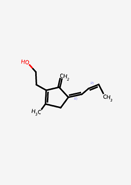 C=C1C(CCO)=C(C)C/C1=C/C=C\C